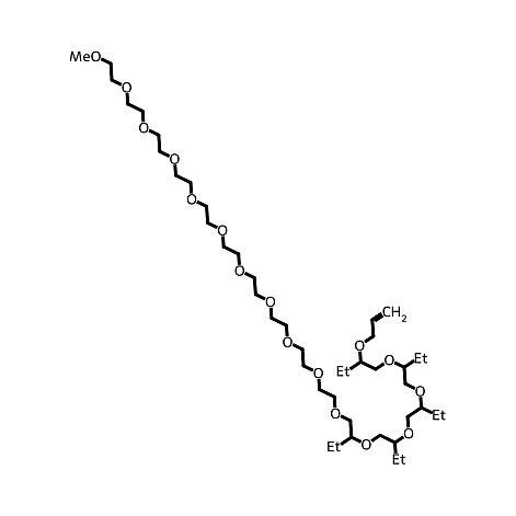 C=CCOC(CC)COC(CC)COC(CC)COC(CC)COC(CC)COCCOCCOCCOCCOCCOCCOCCOCCOCCOCCOC